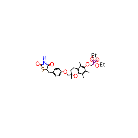 CCOP(=O)(COc1c(C)c(C)c2c(c1C)CCC(C)(COc1ccc(CC3SC(=O)NC3=O)cc1)O2)OCC